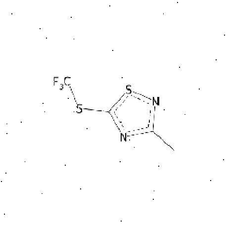 Cc1nsc(SC(F)(F)F)n1